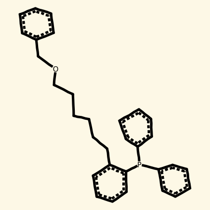 c1ccc(COCCCCCCc2ccccc2P(c2ccccc2)c2ccccc2)cc1